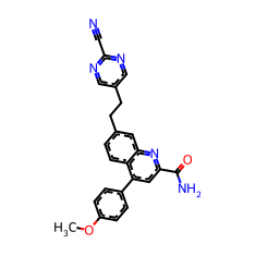 COc1ccc(-c2cc(C(N)=O)nc3cc(CCc4cnc(C#N)nc4)ccc23)cc1